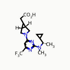 C[C@@H](C1CC1)N(C)c1nc(N2C[C@@H]3C(CC(=O)O)[C@@H]3C2)cc(C(F)(F)F)n1